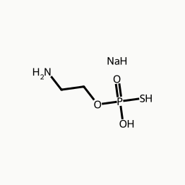 NCCOP(=O)(O)S.[NaH]